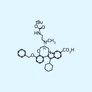 CN(CCNC(=O)OC(C)(C)C)[C@H]1COc2c(OCc3ccccc3)cccc2-c2c(C3CCCCC3)c3ccc(C(=O)O)cc3n2C1